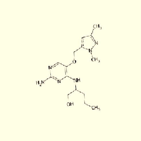 CCCC(CO)Nc1nc(N)ncc1OCc1cc(C)nn1C